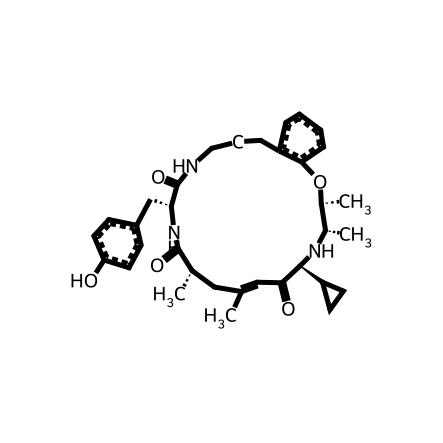 C/C1=C\C(=O)[C@H](C2CC2)N[C@@H](C)[C@@H](C)Oc2ccccc2CCCNC(=O)[C@@H](Cc2ccc(O)cc2)NC(=O)[C@@H](C)C1